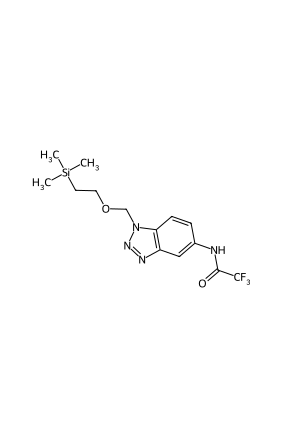 C[Si](C)(C)CCOCn1nnc2cc(NC(=O)C(F)(F)F)ccc21